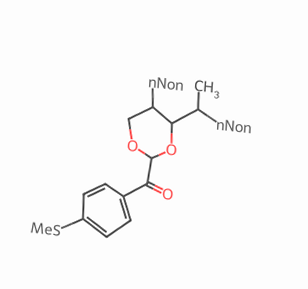 CCCCCCCCCC(C)C1OC(C(=O)c2ccc(SC)cc2)OCC1CCCCCCCCC